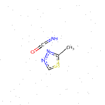 Cc1nncs1.N=C=O